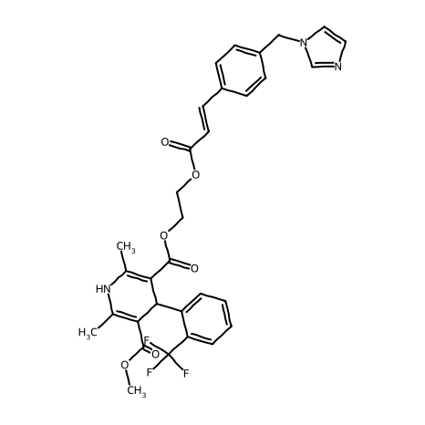 COC(=O)C1=C(C)NC(C)=C(C(=O)OCCOC(=O)C=Cc2ccc(Cn3ccnc3)cc2)C1c1ccccc1C(F)(F)F